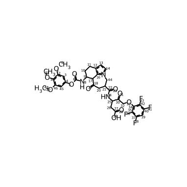 COc1cc(OC(=O)NC2CCc3ccn4c3C2C(=O)CC(C(=O)NC(CC(=O)O)C(=O)COc2c(F)c(F)cc(F)c2F)C4)cc(OC)c1OC